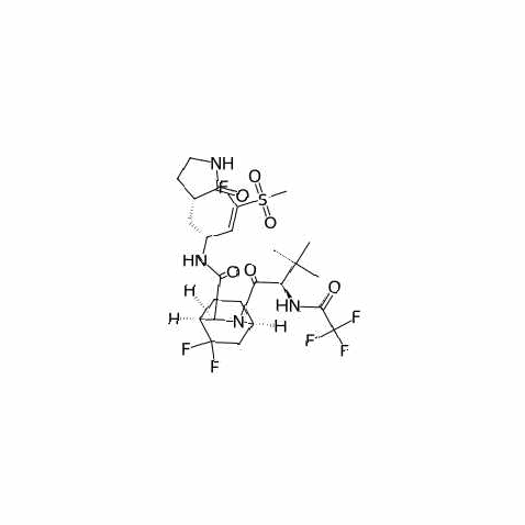 CC(C)(C)[C@@H](NC(=O)C(F)(F)F)C(=O)N1[C@H]2CC[C@@H]([C@H]1C(=O)N[C@@H](/C=C(\F)S(C)(=O)=O)C[C@@H]1CCNC1=O)C(F)(F)C2